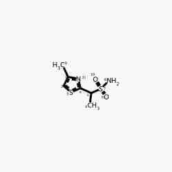 Cc1csc(C(C)S(N)(=O)=O)n1